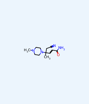 CN1CCN(C(C)(C=CC(N)=O)CC#N)CC1